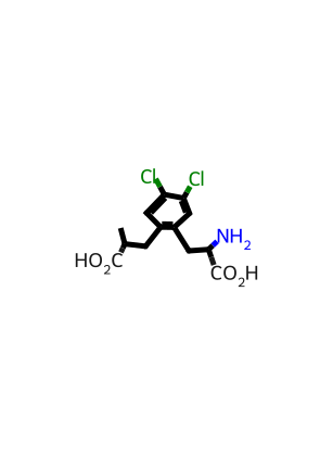 CC(Cc1cc(Cl)c(Cl)cc1CC(N)C(=O)O)C(=O)O